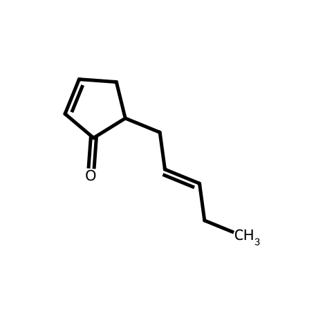 CC/C=C/CC1CC=CC1=O